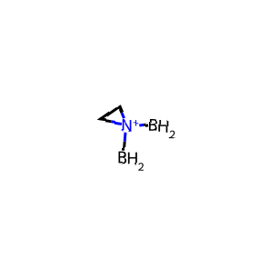 B[N+]1(B)CC1